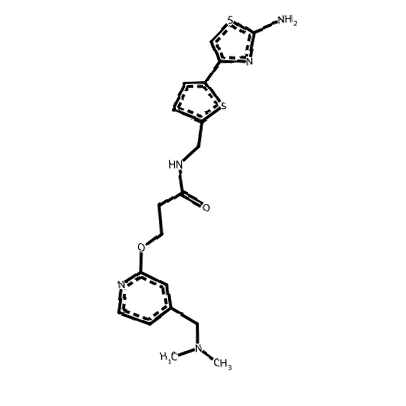 CN(C)Cc1ccnc(OCCC(=O)NCc2ccc(-c3csc(N)n3)s2)c1